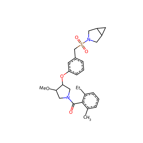 CCc1cccc(C)c1C(=O)N1CC(OC)C(Oc2cccc(CS(=O)(=O)N3CC4CC4C3)c2)C1